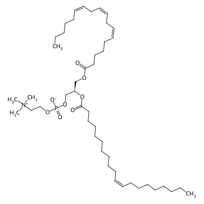 CCCCC/C=C\C/C=C\C/C=C\CCCCC(=O)OC[C@H](COP(=O)([O-])OCC[N+](C)(C)C)OC(=O)CCCCCCCCC/C=C\CCCCCCCC